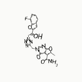 Cc1oc2ncn(Cc3nnn(C[C@H](O)c4cc5cccc(F)c5o4)n3)c(=O)c2c1C(N)=O